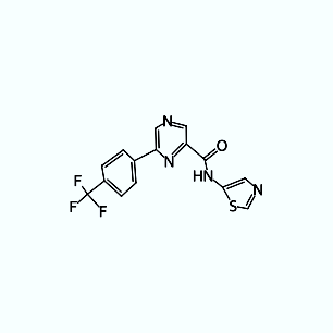 O=C(Nc1cncs1)c1cncc(-c2ccc(C(F)(F)F)cc2)n1